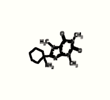 Cn1c(=O)c2c(nc(C3(N)CCCCC3)n2C)n(C)c1=O